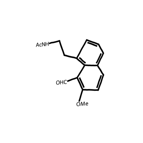 COc1ccc2cccc(CCNC(C)=O)c2c1C=O